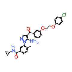 Cc1ccc(C(=O)NC2CC2)cc1-n1ncc(C(=O)c2cccc(OCCOc3ccc(Cl)cc3)c2)c1N